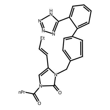 CCC=Cc1cn(C(=O)CCC)c(=O)n1Cc1ccc(-c2ccccc2-c2nnn[nH]2)cc1